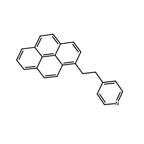 c1cc2ccc3ccc(CCc4ccncc4)c4ccc(c1)c2c34